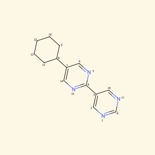 [c]1ncc(-c2ncc(C3CC[CH]CC3)cn2)cn1